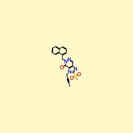 CC#CCn1c(S(C)(=O)=O)nc2cnn(Cc3cccc4ccccc34)c(=O)c21